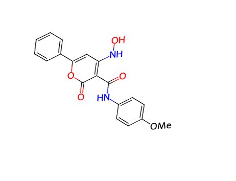 COc1ccc(NC(=O)c2c(NO)cc(-c3ccccc3)oc2=O)cc1